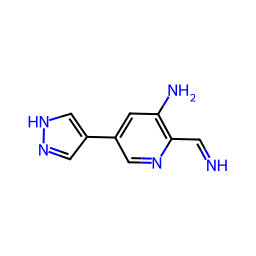 N=Cc1ncc(-c2cn[nH]c2)cc1N